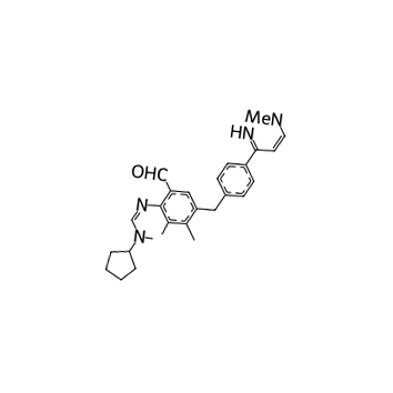 CN/C=C\C(=N)c1ccc(Cc2cc(C=O)c(/N=C\N(C)C3CCCC3)c(C)c2C)cc1